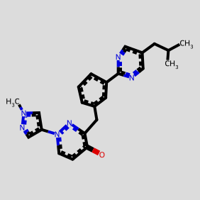 CC(C)Cc1cnc(-c2cccc(Cc3nn(-c4cnn(C)c4)ccc3=O)c2)nc1